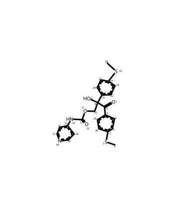 CSc1ccc(C(=O)C(O)(COC(=O)Nc2ccncc2)c2ccc(SC)cc2)cc1